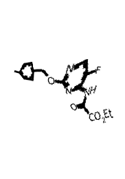 CCOC(=O)C(=O)Nc1nc(OCc2ccc(C)cc2)ncc1F